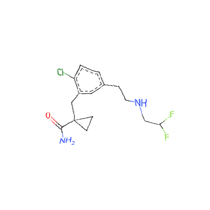 NC(=O)C1(Cc2cc(CCNCC(F)F)ccc2Cl)CC1